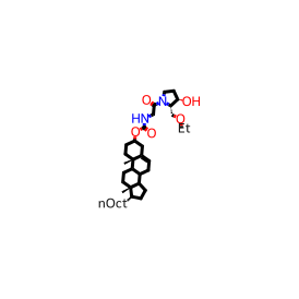 CCCCCCCC[C@@H]1CCC2C3CC=C4CC(OC(=O)NCC(=O)N5CC[C@H](O)[C@@H]5COCC)CC[C@@]4(C)C3CC[C@]21C